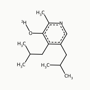 [2H]Oc1c(C)ncc(CC(C)C)c1CC(C)C